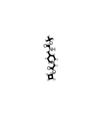 CC(C)(C)OC(=O)NCC1CCN(CC(=O)OC2CCC2)CC1